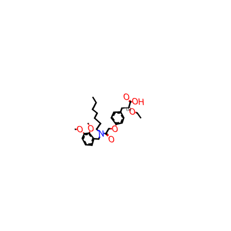 CCCCCCCN(Cc1cccc(OC)c1OC)C(=O)COc1ccc(C[C@H](OCC)C(=O)O)cc1